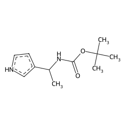 CC(NC(=O)OC(C)(C)C)c1cc[nH]c1